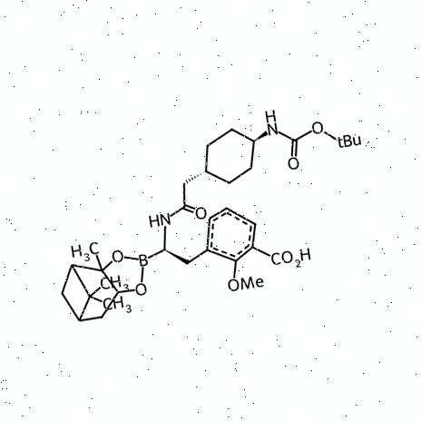 COc1c(C[C@H](NC(=O)C[C@H]2CC[C@H](NC(=O)OC(C)(C)C)CC2)B2OC3CC4CC(C4(C)C)C3(C)O2)cccc1C(=O)O